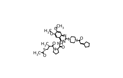 COc1cc2nc(N3CCN(C(=O)C=C4CCCC4)CC3)nc(NC(=O)C3CCCN3C(=O)C(C)CSC(C)=O)c2cc1OC